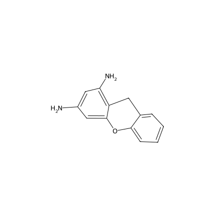 Nc1cc(N)c2c(c1)Oc1ccccc1C2